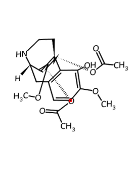 COC1=C2[C@@H]3Cc4ccc(OC)c(O)c4[C@]2(CCN3)C[C@H](OC(C)=O)[C@@H]1OC(C)=O